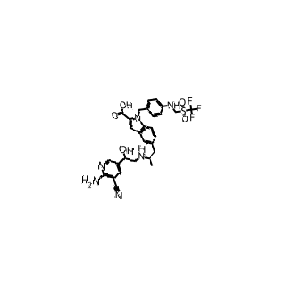 CC(Cc1ccc2c(c1)cc(C(=O)O)n2Cc1ccc(NCS(=O)(=O)C(F)(F)F)cc1)NCC(O)c1cnc(N)c(C#N)c1